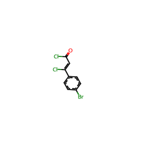 O=C(Cl)C=C(Cl)c1ccc(Br)cc1